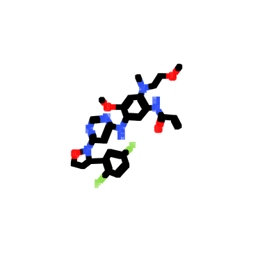 C=CC(=O)Nc1cc(Nc2cc(N3OCCC3c3cc(F)ccc3F)ncn2)c(OC)cc1N(C)CCOC